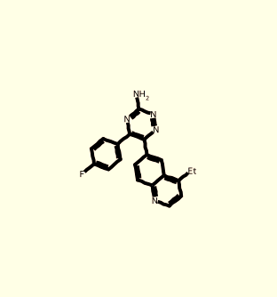 CCc1ccnc2ccc(-c3nnc(N)nc3-c3ccc(F)cc3)cc12